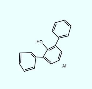 Oc1c(-c2ccccc2)cccc1-c1ccccc1.[Al]